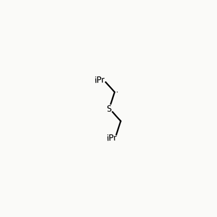 CC(C)[CH]SCC(C)C